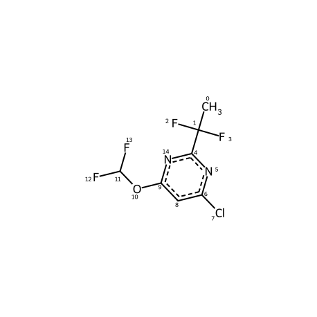 CC(F)(F)c1nc(Cl)cc(OC(F)F)n1